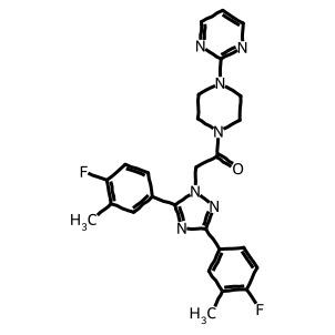 Cc1cc(-c2nc(-c3ccc(F)c(C)c3)n(CC(=O)N3CCN(c4ncccn4)CC3)n2)ccc1F